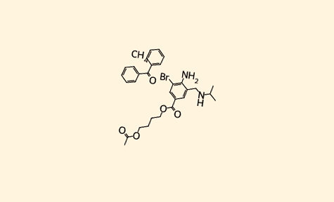 C.CC(=O)OCCCCOC(=O)c1cc(Br)c(N)c(CNC(C)C)c1.O=C(c1ccccc1)c1ccccc1